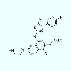 CCOC(=O)Cn1cc(N(C)c2nc(-c3ccc(F)cc3)c(C#N)s2)c2cc(N3CCNCC3)ccc2c1=O